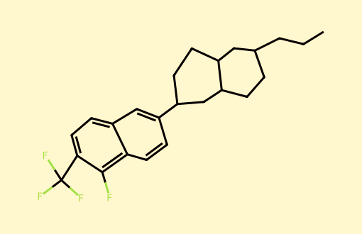 CCCC1CCC2CC(c3ccc4c(F)c(C(F)(F)F)ccc4c3)CCC2C1